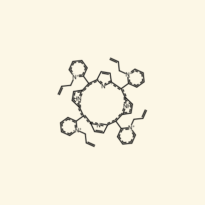 C=CC[n+]1ccccc1-c1c2nc(c(-c3cccc[n+]3CC=C)c3ccc([nH]3)c(-c3cccc[n+]3CC=C)c3nc(c(-c4cccc[n+]4CC=C)c4ccc1[nH]4)C=C3)C=C2